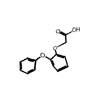 O=C(O)COc1ccccc1Oc1ccccc1